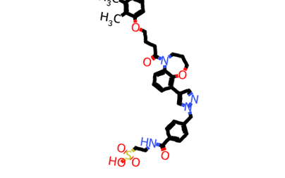 Cc1cccc(OCCCC(=O)N2CCCOc3c(-c4cnn(Cc5ccc(C(=O)NCCS(=O)(=O)O)cc5)c4)cccc32)c1C